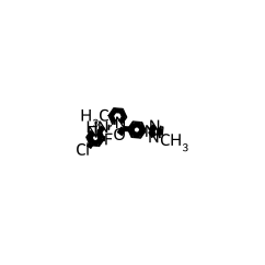 Cc1cnn(-c2ccc(C(=O)N3CCC[C@@H](C)[C@H]3CNc3ncc(Cl)cc3F)cc2)n1